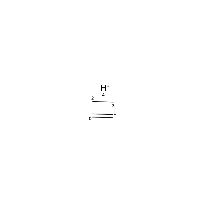 C=C.CC.[H+]